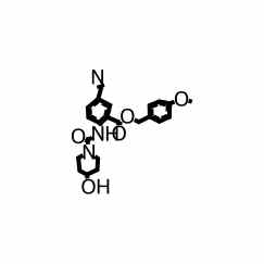 COc1ccc(COC(=O)c2cc(C#N)ccc2NC(=O)N2CCC(O)CC2)cc1